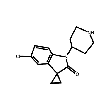 O=C1N(C2CCNCC2)c2ccc(Cl)cc2C12CC2